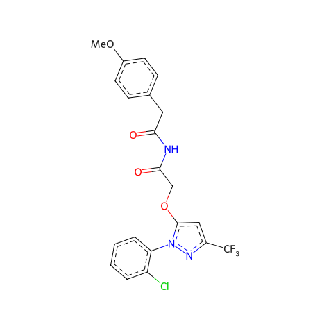 COc1ccc(CC(=O)NC(=O)COc2cc(C(F)(F)F)nn2-c2ccccc2Cl)cc1